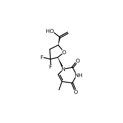 C=C(O)[C@@H]1CC(F)(F)[C@H](n2cc(C)c(=O)[nH]c2=O)O1